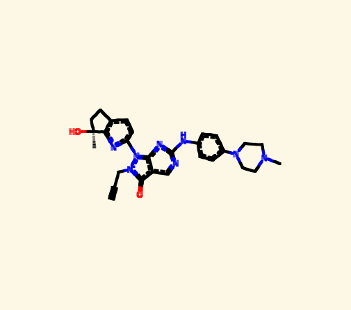 C#CCn1c(=O)c2cnc(Nc3ccc(N4CCN(C)CC4)cc3)nc2n1-c1ccc2c(n1)[C@@](C)(O)CC2